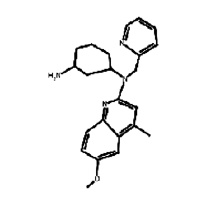 COc1ccc2nc(N(Cc3ccccn3)C3CCCC(N)C3)cc(C)c2c1